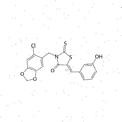 O=C1/C(=C/c2cccc(O)c2)SC(=S)N1Cc1cc2c(cc1Cl)OCO2